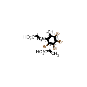 C=CC(=O)O.C=CC(=O)O.Cc1c(C)c(Br)c(Br)c(Br)c1Br